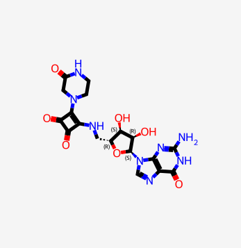 Nc1nc2c(ncn2[C@H]2O[C@H](CNc3c(N4CCNC(=O)C4)c(=O)c3=O)[C@@H](O)[C@H]2O)c(=O)[nH]1